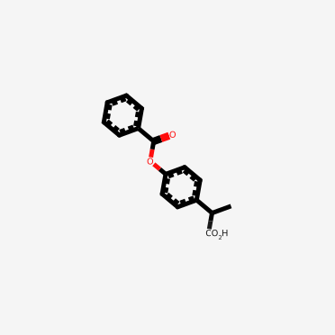 CC(C(=O)O)c1ccc(OC(=O)c2ccccc2)cc1